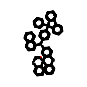 c1ccc(C2(c3ccc(N(c4ccc5c(c4)[Si]4(c6ccccc6O5)c5ccccc5Sc5ccccc54)c4cccc5ccccc45)cc3)c3ccccc3-c3ccccc32)cc1